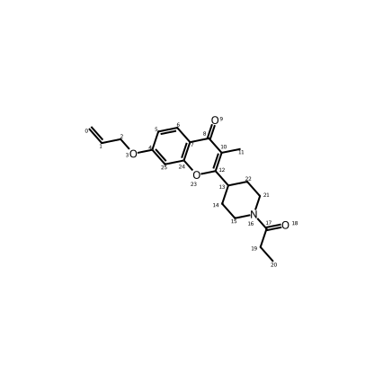 C=CCOc1ccc2c(=O)c(C)c(C3CCN(C(=O)CC)CC3)oc2c1